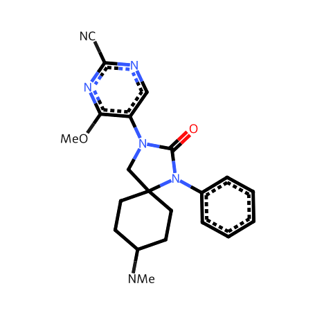 CNC1CCC2(CC1)CN(c1cnc(C#N)nc1OC)C(=O)N2c1ccccc1